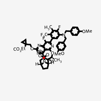 CCOC(=O)C1(COc2nc3c4c(nc(-c5cc(N(Cc6ccc(OC)cc6)Cc6ccc(OC)cc6)c(F)c(C)c5C(F)(F)F)c(F)c4n2)O[C@@H](C)[C@@H]2[C@@H]4CC[C@H](CN32)N4C(=O)OC(C)(C)C)CC1